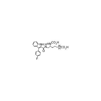 O=C(O)NCCC[C@@H](CNC(=O)c1[nH]c2ccccc2c1-c1ccc(F)cc1)NC(=O)O